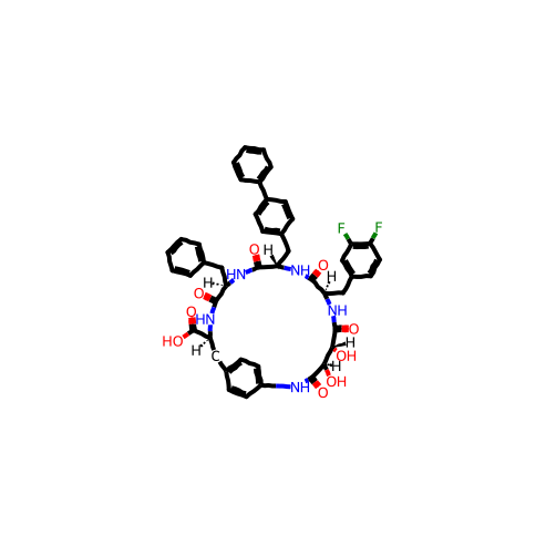 O=C(O)[C@@H]1Cc2ccc(cc2)NC(=O)[C@H](O)[C@@H](O)C(=O)N[C@H](Cc2ccc(F)c(F)c2)C(=O)N[C@@H](Cc2ccc(-c3ccccc3)cc2)C(=O)N[C@H](Cc2ccccc2)C(=O)N1